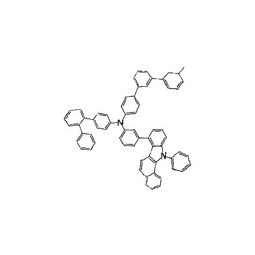 CC1C=CC=C(c2cccc(-c3ccc(N(c4ccc(-c5ccccc5-c5ccccc5)cc4)c4cccc(-c5cccc6c5c5ccc7ccccc7c5n6-c5ccccc5)c4)cc3)c2)C1